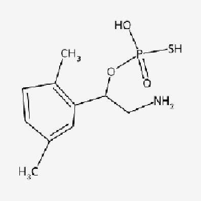 Cc1ccc(C)c(C(CN)OP(=O)(O)S)c1